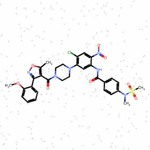 COc1ccccc1-c1noc(C)c1C(=O)N1CCN(c2cc(NC(=O)c3ccc(N(C)S(C)(=O)=O)cc3)c([N+](=O)[O-])cc2Cl)CC1